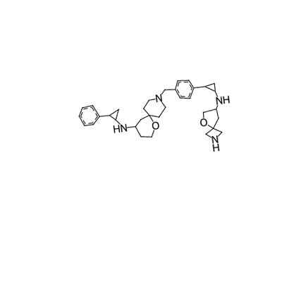 c1ccc(C2CC2NC2CCOC3(CCN(Cc4ccc(C5CC5NC5COC6(CNC6)C5)cc4)CC3)C2)cc1